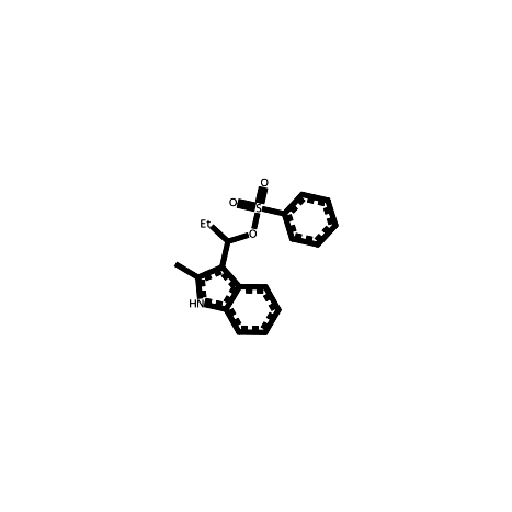 CCC(OS(=O)(=O)c1ccccc1)c1c(C)[nH]c2ccccc12